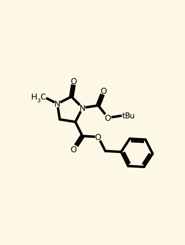 CN1CC(C(=O)OCc2ccccc2)N(C(=O)OC(C)(C)C)C1=O